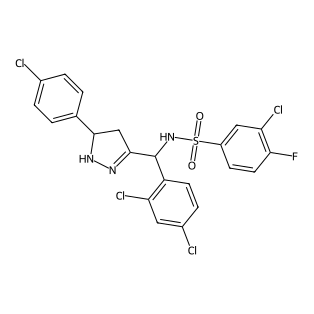 O=S(=O)(NC(C1=NNC(c2ccc(Cl)cc2)C1)c1ccc(Cl)cc1Cl)c1ccc(F)c(Cl)c1